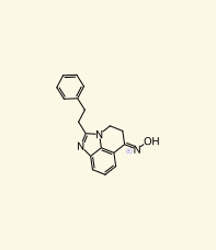 O/N=C1\CCn2c(CCc3ccccc3)nc3cccc1c32